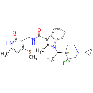 CSc1cc(C)[nH]c(=O)c1CNC(=O)c1c(C)n(C(C)[C@H]2CCN(C3CC3)C[C@H]2F)c2ccccc12